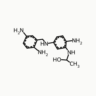 CC(O)Nc1cc(NCc2cc(N)ccc2N)ccc1N